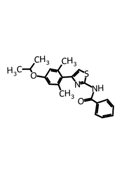 Cc1cc(OC(C)C)cc(C)c1-c1csc(NC(=O)c2ccccc2)n1